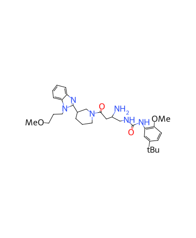 COCCCn1c(C2CCCN(C(=O)CC(N)CNC(=O)Nc3cc(C(C)(C)C)ccc3OC)C2)nc2ccccc21